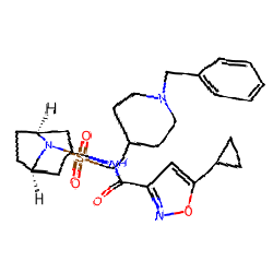 O=C(N[C@H]1C[C@H]2CC[C@@H](C1)N2S(=O)(=O)CC1CCN(Cc2ccccc2)CC1)c1cc(C2CC2)on1